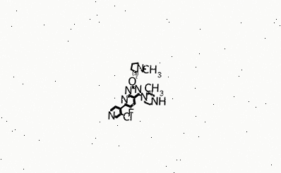 C[C@@H]1CNCCN1c1nc(OC[C@@H]2CCCN2C)nc2nc(-c3ccncc3Cl)c(F)cc12